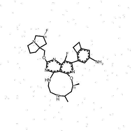 CC1C[C@H](C)Oc2nc(-c3cc(N)cc4c3CC4)c(F)c3nc(OCC45CCCN4C[C@H](F)C5)nc(c23)NCCN1